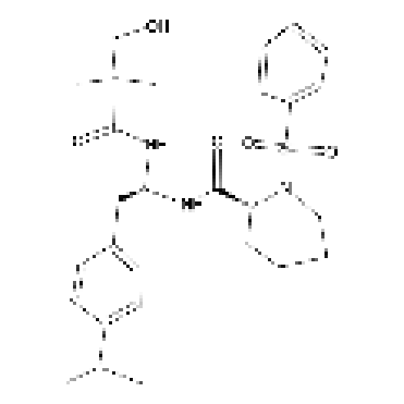 CC(C)c1ccc(C[C@H](NC(=O)[C@@H]2CCCCN2S(=O)(=O)c2ccccc2)NC(=O)C(C)(C)CO)cc1